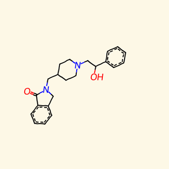 O=C1c2ccccc2CN1CC1CCN(CC(O)c2ccccc2)CC1